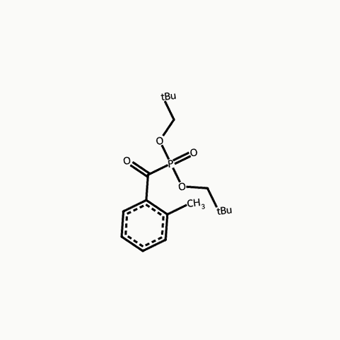 Cc1ccccc1C(=O)P(=O)(OCC(C)(C)C)OCC(C)(C)C